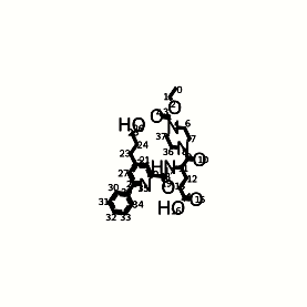 CCOC(=O)N1CCN(C(=O)C(CCC(=O)O)NC(=O)c2cc(CCCO)cc(-c3ccccc3)n2)CC1